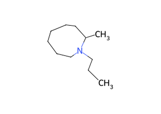 CCCN1CCCCCCC1C